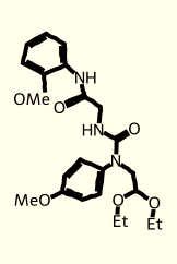 CCOC(CN(C(=O)NCC(=O)Nc1ccccc1OC)c1ccc(OC)cc1)OCC